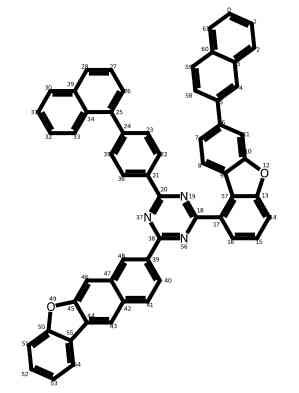 c1ccc2cc(-c3ccc4c(c3)oc3cccc(-c5nc(-c6ccc(-c7cccc8ccccc78)cc6)nc(-c6ccc7cc8c(cc7c6)oc6ccccc68)n5)c34)ccc2c1